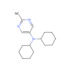 N#Cc1ncc(N(C2CCCCC2)C2CCCCC2)cn1